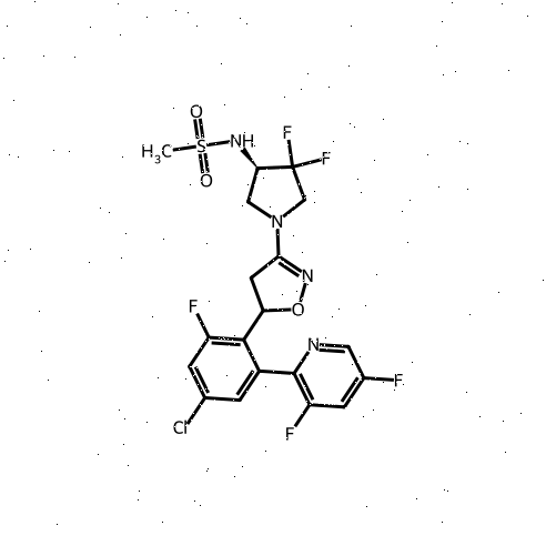 CS(=O)(=O)N[C@@H]1CN(C2=NOC(c3c(F)cc(Cl)cc3-c3ncc(F)cc3F)C2)CC1(F)F